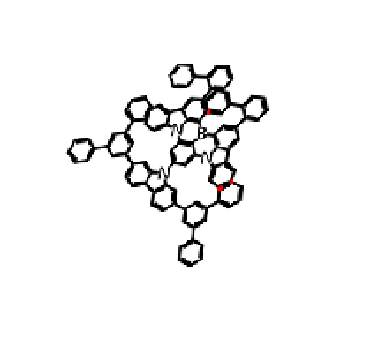 c1ccc(-c2cc(-c3ccccc3)cc(-c3ccc4c5ccc(-c6cc(-c7ccccc7)cc(-c7ccccc7)c6)cc5n(-c5cc6c7c(c5)-n5c8ccccc8c8cc(-c9ccccc9-c9ccccc9)cc(c85)B7c5cc(-c7ccccc7-c7ccccc7)cc7c8ccccc8n-6c57)c4c3)c2)cc1